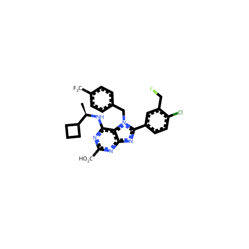 C[C@@H](Nc1nc(C(=O)O)nc2nc(-c3ccc(Cl)c(CF)c3)n(Cc3ccc(C(F)(F)F)cc3)c12)C1CCC1